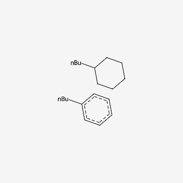 CCCCC1CCCCC1.CCCCc1ccccc1